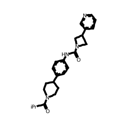 CC(C)C(=O)N1CCC(c2ccc(NC(=O)N3CC(c4cccnc4)C3)cc2)CC1